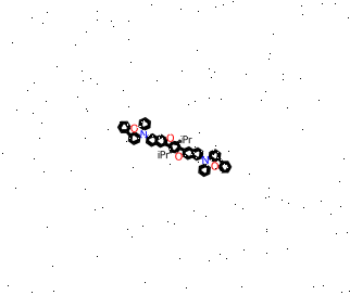 CC(C)c1c2oc3cc4cc(N(c5ccccc5)c5cccc6c5oc5ccccc56)ccc4cc3c2c(C(C)C)c2oc3cc4cc(N(c5ccccc5)c5cccc6c5oc5ccccc56)ccc4cc3c12